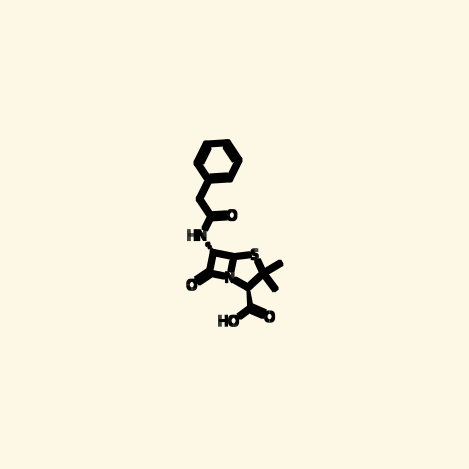 CC1(C)SC2[C@@H](NC(=O)Cc3ccccc3)C(=O)N2[C@@H]1C(=O)O